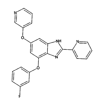 Fc1cccc(Oc2cc(Oc3cccnc3)cc3[nH]c(-c4ccccn4)nc23)c1